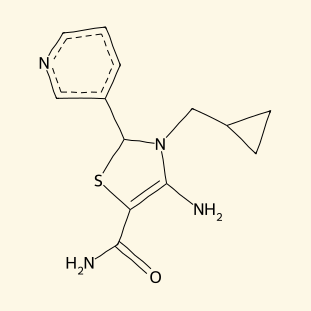 NC(=O)C1=C(N)N(CC2CC2)C(c2cccnc2)S1